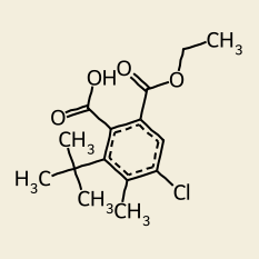 CCOC(=O)c1cc(Cl)c(C)c(C(C)(C)C)c1C(=O)O